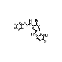 Fc1ccc(Nc2ncc(Br)c(NCCc3ccccn3)n2)cc1Cl